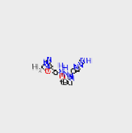 Cn1c(=O)c(-c2cccc(NC(=O)Nc3cc(C(C)(C)C)nn3-c3ccc4nc(N5CCNCC5)ccc4c3)c2)cc2cncnc21